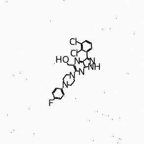 OCc1nc2c(-c3cccc(Cl)c3Cl)n[nH]c2nc1N1CCN(c2ccc(F)cc2)CC1